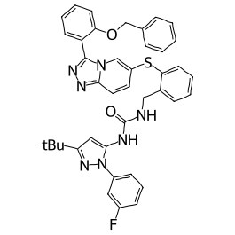 CC(C)(C)c1cc(NC(=O)NCc2ccccc2Sc2ccc3nnc(-c4ccccc4OCc4ccccc4)n3c2)n(-c2cccc(F)c2)n1